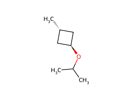 CC(C)O[C@H]1C[C@H](C)C1